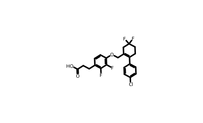 O=C(O)CCc1ccc(OCC2=C(c3ccc(Cl)cc3)CCC(F)(F)C2)c(F)c1F